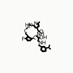 Cc1cc2cc(n1)NCCCCc1cc(ccc1F)C[C@@H]([C@H](O)CNCc1cccc(C(C)C)c1)NC2=O